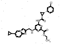 CCOC(=O)c1nc(NCc2cn3cc(C4CC4)ccc3n2)cc(NC(=O)[C@H]2C[C@@H]2c2cccc(Cl)c2)n1